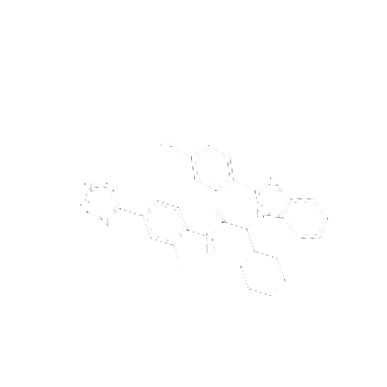 O=C(Nc1ccc(-c2nnn[nH]2)cc1C(F)(F)F)C(C1CCCCC1)n1c(-c2ccc(Cl)cc2)nc2ccccc21